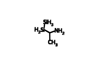 CC(N)[SiH2][SiH3]